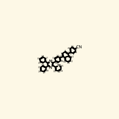 N#Cc1ccc(-c2ccc(-c3ccc(-c4nc(-c5ccccc5)c(-c5ccccc5)nc4-c4ccccn4)cc3)c3ccccc23)cc1